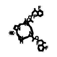 CC(OCCC(C)c1c(F)cccc1F)C1=Cc2cc3[nH]c(cc4nc(cc5ccc(cc1n2)[nH]5)C=C4)cc3C(C)OCCC(C)c1c(F)cccc1F.[K].[K]